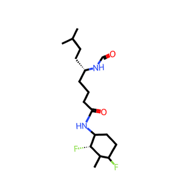 CC(C)CC[C@@H](CCCC(=O)NC1CCC(F)C(C)[C@@H]1F)NC=O